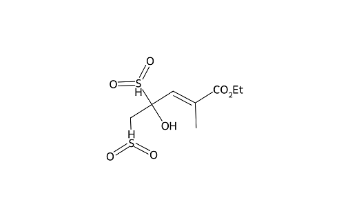 CCOC(=O)C(C)=CC(O)(C[SH](=O)=O)[SH](=O)=O